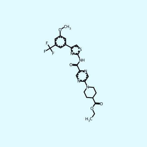 CCOC(=O)C1CCN(c2cnc(C(=O)Nc3nc(-c4cc(OC)cc(C(F)(F)F)c4)cs3)cn2)CC1